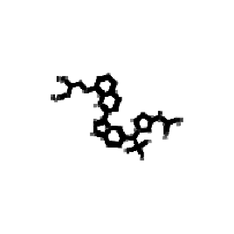 COC(C)COc1cccc2ccc(-c3nnc4ccc([C@@H](N5CCC(NC(=O)O)C5)C(F)(F)F)cn34)nc12